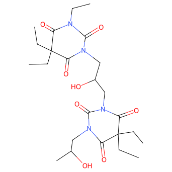 CCN1C(=O)N(CC(O)CN2C(=O)N(CC(C)O)C(=O)C(CC)(CC)C2=O)C(=O)C(CC)(CC)C1=O